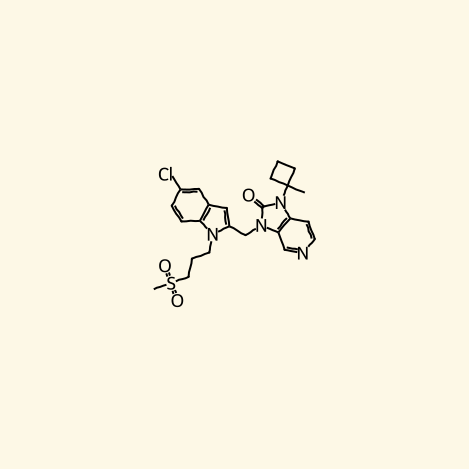 CC1(n2c(=O)n(Cc3cc4cc(Cl)ccc4n3CCCS(C)(=O)=O)c3cnccc32)CCC1